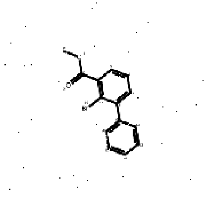 COC(=O)c1cccc(-c2ccccc2)c1Br